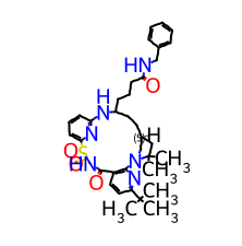 CC(C)(C)c1ccc2c(n1)N1C[C@@H](CCC(CCCC(=O)NCc3ccccc3)Nc3cccc(n3)S(=O)(=O)NC2=O)CC1(C)C